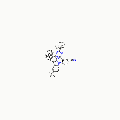 CC(C)(C)c1ccc2c(c1)c1cc(C(C)(C)C)ccc1n2-c1ccc(C#N)cc1-c1nc(C23CC4CC(CC(C4)C2)C3)nc(C23CC4CC(CC(C4)C2)C3)n1